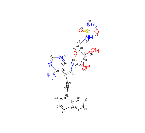 Nc1ncnc2c1c(C#Cc1cccc3ccccc13)cn2[C@@H]1O[C@H](CNS(N)(=O)=O)[C@@H](O)[C@H]1O